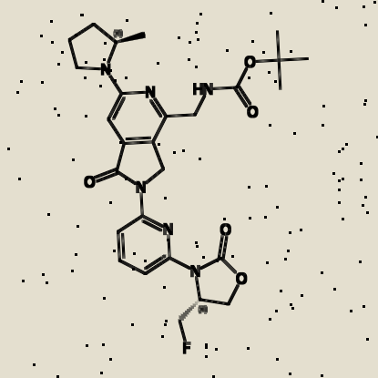 C[C@@H]1CCCN1c1cc2c(c(CNC(=O)OC(C)(C)C)n1)CN(c1cccc(N3C(=O)OC[C@@H]3CF)n1)C2=O